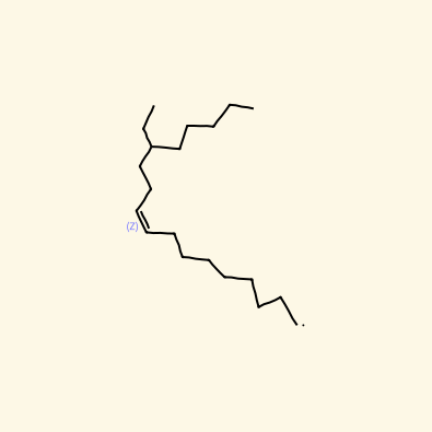 [CH2]CCCCCCC/C=C\CCC(CC)CCCCC